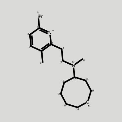 Cc1ccc(C(C)C)nc1CCN(C)C1CCCCOCC1